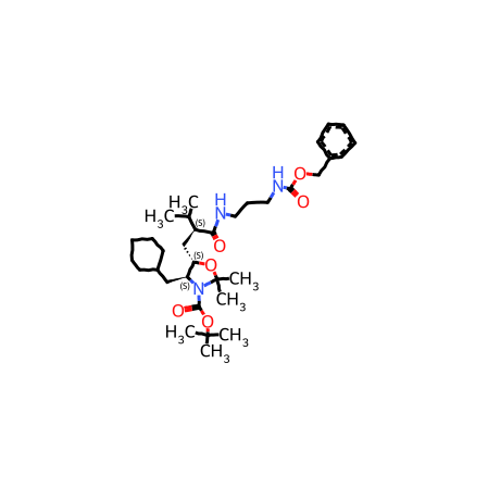 CC(C)[C@H](C[C@@H]1OC(C)(C)N(C(=O)OC(C)(C)C)[C@H]1CC1CCCCC1)C(=O)NCCCNC(=O)OCc1ccccc1